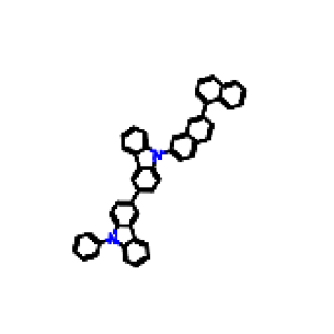 c1ccc(-n2c3ccccc3c3cc(-c4ccc5c(c4)c4ccccc4n5-c4ccc5ccc(-c6cccc7ccccc67)cc5c4)ccc32)cc1